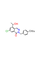 COc1ccc(Cn2ncc3c(C(C)O)cc(Cl)cc3c2=O)cc1